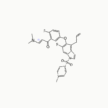 C=CCc1c(Oc2ccc(F)c(C(=O)/C=C/N(C)C)c2)c(F)cc2c1ccn2S(=O)(=O)c1ccc(C)cc1